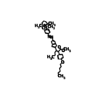 CCCCCCOc1ccc(/C(C(=O)OC)=C(\CCC)C2=CC3=C(C=C(/N=N/c4ccc(N5C(C)(C)CCCC5(C)C)cc4)C3)C2)cc1